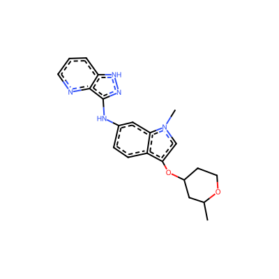 CC1CC(Oc2cn(C)c3cc(Nc4n[nH]c5cccnc45)ccc23)CCO1